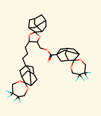 O=C(OCC1OC2(OC1CCCC13CC4CC(C1)C1(OCC(F)(F)C(F)(F)CO1)C(C4)C3)C1CC3CC(C1)CC2C3)C12CC3CC(C1)C1(OCC(F)(F)C(F)(F)CO1)C(C3)C2